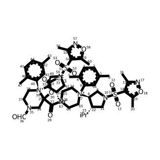 Cc1ccc(C)c([N+]2([C@H]3CN(S(=O)(=O)c4c(C)noc4C)C[C@@H]3C(C)C)CCN(C(=O)C3(OC(=O)C(F)(F)F)CN(C=O)CC[N@+]3(c3cc(C)ccc3C)[C@H]3CN(S(=O)(=O)c4c(C)noc4C)C[C@@H]3C(C)C)CC2)c1